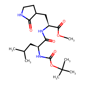 COC(=O)[C@H](CC1CCNC1=O)NC(=O)[C@H](CC(C)C)NC(=O)OC(C)(C)C